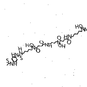 CC(=O)N(O)CCCCCNC(=O)CCC(=O)N(O)CCCCCNC(=O)CCC(=O)N(O)CCCCCNC(=S)Nc1ccc(NC(C)=S)cc1